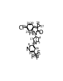 O=C(N[C@@H]1CCN(c2cncc(C(F)(F)F)c2)C1)C1(c2ccc(Cl)cc2)CC1